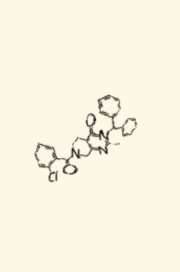 Cc1nc2c(c(=O)n1C(c1ccccc1)c1ccccc1)CCN(C(=O)c1ccccc1Cl)C2